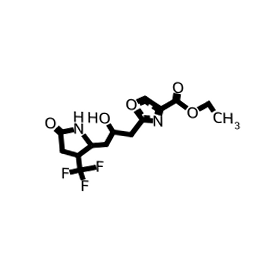 CCOC(=O)c1coc(CC(O)CC2NC(=O)CC2C(F)(F)F)n1